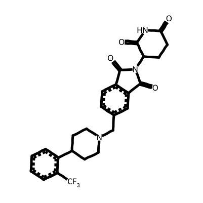 O=C1CCC(N2C(=O)c3ccc(CN4CCC(c5ccccc5C(F)(F)F)CC4)cc3C2=O)C(=O)N1